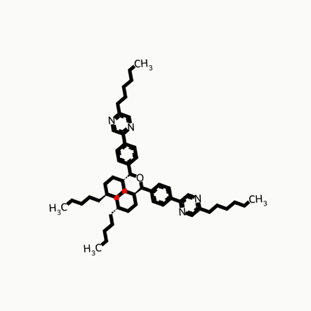 CCCCCCc1cnc(-c2ccc(C(OC(c3ccc(-c4cnc(CCCCCC)cn4)cc3)[C@H]3CC[C@H](CCCCC)CC3)[C@H]3CC[C@H](CCCCC)CC3)cc2)cn1